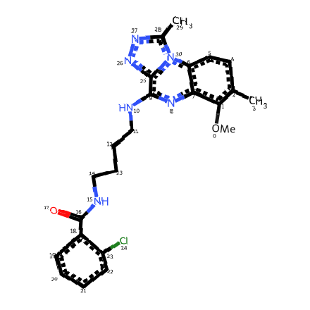 COc1c(C)ccc2c1nc(NCCCCNC(=O)c1ccccc1Cl)c1nnc(C)n12